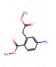 COC(=O)Cc1cc(N)ccc1C(=O)OC